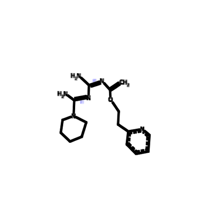 C=C(/N=C(N)\N=C(/N)N1CCCCC1)OCCc1ccccn1